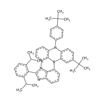 CC(C)c1cccc(C(C)C)c1-c1nc2cccc3c2n1-c1cccc2c1B3c1cc(C(C)(C)C)ccc1N2c1ccc(C(C)(C)C)cc1